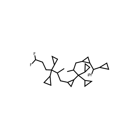 CC(C)C(C1CC1)C1CC1CC(C)C(C1CC1)(C1CC1)C1CC1CC(C)C(CCC(F)F)(C1CC1)C1CC1